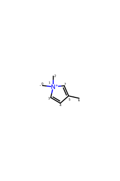 [CH2][N+]1(C)C=CC(C)=C1